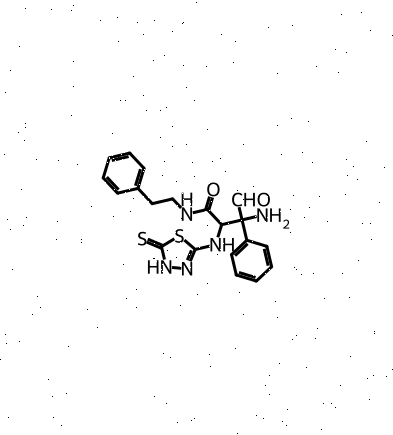 NC(C=O)(c1ccccc1)C(Nc1n[nH]c(=S)s1)C(=O)NCCc1ccccc1